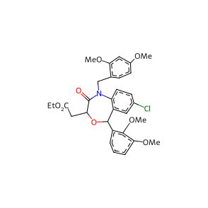 CCOC(=O)CC1OC(c2cccc(OC)c2OC)c2cc(Cl)ccc2N(Cc2ccc(OC)cc2OC)C1=O